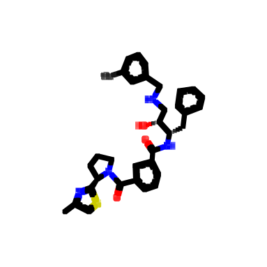 Cc1csc([C@H]2CCCN2C(=O)c2cccc(C(=O)N[C@@H](Cc3ccccc3)[C@H](O)CNCc3cccc(C(C)(C)C)c3)c2)n1